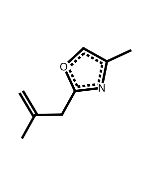 C=C(C)Cc1nc(C)co1